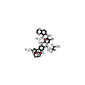 COc1cc(CN2C3CCC2CC(=O)C3)c(-c2cnn(C)c2)cc1Nc1ncc(Br)c(Nc2ccc3nccnc3c2P(C)C)n1.O=C(O)C(F)(F)F